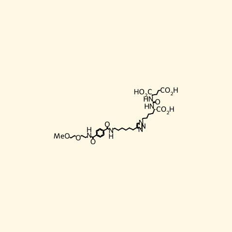 COCCOCCNC(=O)c1ccc(C(=O)NCCCCCCc2cn(CCCC[C@H](NC(=O)N[C@@H](CCC(=O)O)C(=O)O)C(=O)O)nn2)cc1